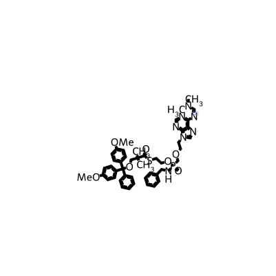 COc1ccc(C(OCC(C)(C)C(=O)SCCOP(=O)(COCCn2cnc3c(/N=C\N(C)C)ncnc32)NCc2ccccc2)(c2ccccc2)c2ccc(OC)cc2)cc1